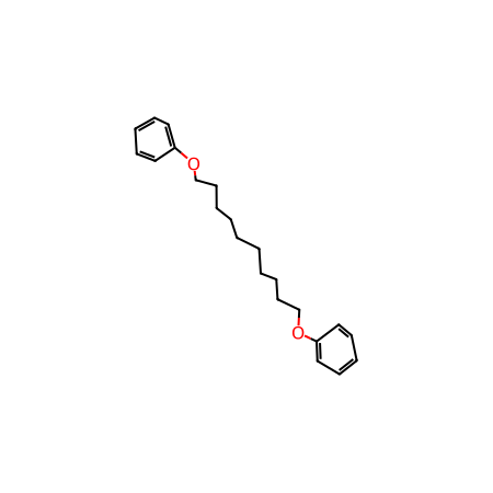 c1ccc(OCCCCCCCCCCOc2ccccc2)cc1